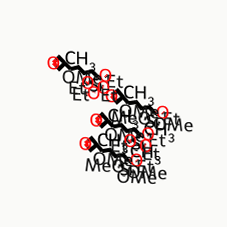 CCOC(CCCC(OC)C1(C)COC1)[Si](C)(OC)OC.CCOC(CCCC(OC)C1(C)COC1)[Si](C)(OCC)OCC.CCOC(CCCC(OC)C1(C)COC1)[Si](OC)(OC)OC.CCOC(CCCC(OC)C1(C)COC1)[Si](OCC)(OCC)OCC